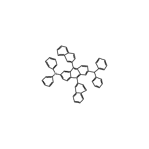 c1ccc(C(c2ccccc2)c2ccc3c(-c4ccc5ccccc5c4)c4cc(N(c5ccccc5)c5ccccc5)ccc4c(-c4ccc5ccccc5c4)c3c2)cc1